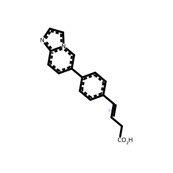 O=C(O)C/C=C/c1ccc(-c2ccc3nccn3c2)cc1